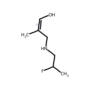 C/C(=C/O)CNCC(C)F